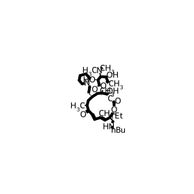 CCCCNC[C@H]1/C=C(C)/C=C/C(=O)[C@H](C)C[C@H](CCN2CCCCC2)[C@H](O[C@@H]2O[C@H](C)[C@@H](O)[C@H](N(C)C)[C@H]2O)[C@@H](C)[C@H](O)CC(=O)O[C@@H]1CC